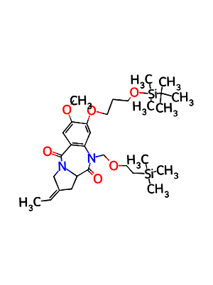 C/C=C1/CC2C(=O)N(COCC[Si](C)(C)C)c3cc(OCCCO[Si](C)(C)C(C)(C)C)c(OC)cc3C(=O)N2C1